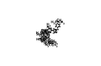 CC(C)(C)c1ccc(Cn2cc(-c3nc(N)c4ncn(C5OC(CO[Si](C)(C)C(C)(C)C)[C@@H](CC(C)(C)[Si](C)(C)O)[C@H]5CC(C)(C)[Si](C)(C)O)c4n3)cn2)cc1